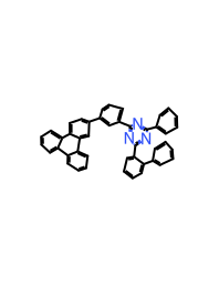 c1ccc(-c2nc(-c3cccc(-c4ccc5c6ccccc6c6ccccc6c5c4)c3)nc(-c3ccccc3-c3ccccc3)n2)cc1